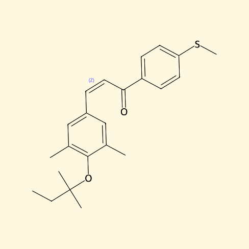 CCC(C)(C)Oc1c(C)cc(/C=C\C(=O)c2ccc(SC)cc2)cc1C